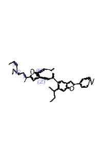 C=C(/C=c1/cc(/C(C)=C/C=N\C=C/C)o/c1=C/CC)c1cc2cc(-c3ccncc3)oc2cc1C(C)CC